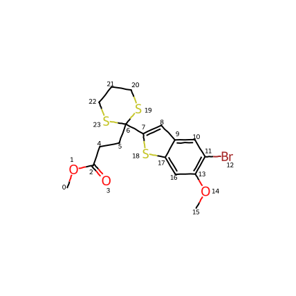 COC(=O)CCC1(c2cc3cc(Br)c(OC)cc3s2)SCCCS1